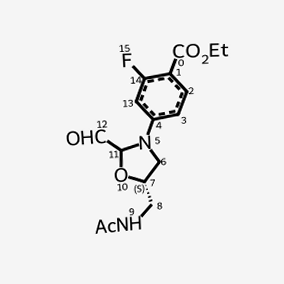 CCOC(=O)c1ccc(N2C[C@H](CNC(C)=O)OC2C=O)cc1F